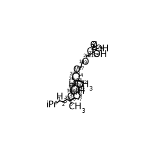 CC(C)CCC[C@@H](C)C1CC[C@H]2[C@@H]3CC=C4C[C@@H](OCCOCCOP(=O)(O)O)CC[C@]4(C)[C@H]3CC[C@]12C